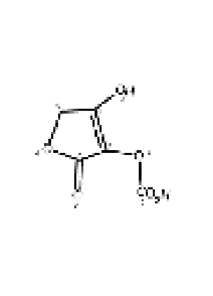 O=C(O)OC1=C(O)COC1=O